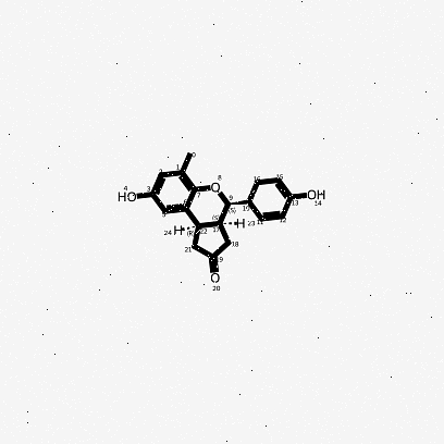 Cc1cc(O)cc2c1O[C@@H](C1C=CC(O)=CC1)[C@H]1CC(=O)C[C@@H]21